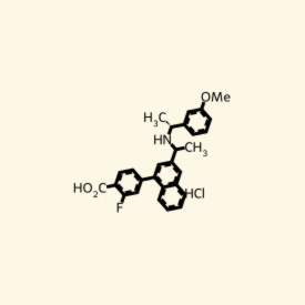 COc1cccc([C@@H](C)NC(C)c2cc(-c3ccc(C(=O)O)c(F)c3)c3ccccc3c2)c1.Cl